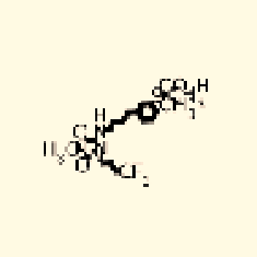 Cn1c(=O)c(NCCCCc2cccc(SC(C)(C)C(=O)O)c2)nn(CCCC(F)(F)F)c1=O